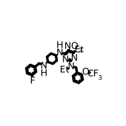 CCc1nc(N(CC)Cc2ccccc2OC(F)(F)F)nc(N[C@H]2CC[C@H](NCc3cccc(F)c3)CC2)c1[N+](=O)[O-]